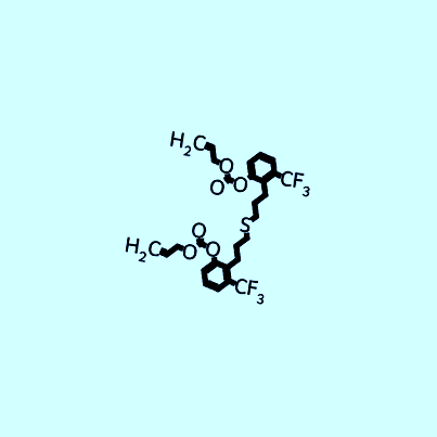 C=CCOC(=O)Oc1cccc(C(F)(F)F)c1CCCSCCCc1c(OC(=O)OCC=C)cccc1C(F)(F)F